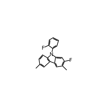 Cc1ccc2c(c1)c1cc(C)c(F)cc1n2-c1ccccc1F